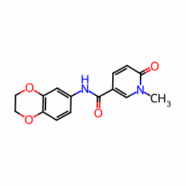 Cn1cc(C(=O)Nc2ccc3c(c2)OCCO3)ccc1=O